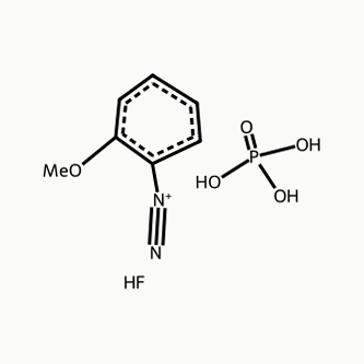 COc1ccccc1[N+]#N.F.O=P(O)(O)O